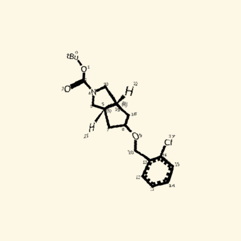 CC(C)(C)OC(=O)N1C[C@H]2CC(OCc3ccccc3Cl)C[C@H]2C1